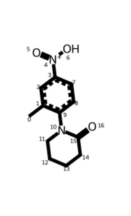 Cc1cc([N+](=O)O)ccc1N1CCCCC1=O